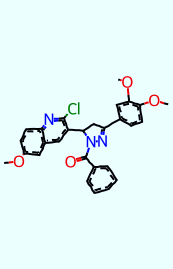 COc1ccc2nc(Cl)c(C3CC(c4ccc(OC)c(OC)c4)=NN3C(=O)c3ccccc3)cc2c1